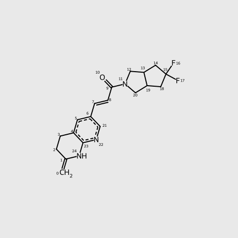 C=C1CCc2cc(/C=C/C(=O)N3CC4CC(F)(F)CC4C3)cnc2N1